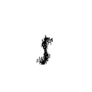 CC1C[C@@H](c2nc3ccc4cc(C#Cc5ccc6c(ccc7nc([C@@H]8CC9C[C@H]9N8)[nH]c76)c5)ccc4c3[nH]2)N[C@@H]1C